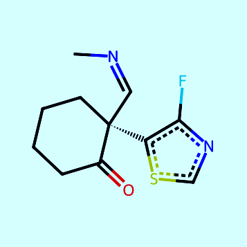 C/N=C\[C@]1(c2scnc2F)CCCCC1=O